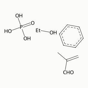 C=C(C)C=O.CCO.O=P(O)(O)O.c1ccccc1